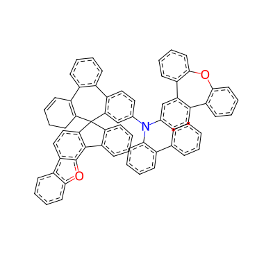 C1=CC2=C(CC1)C1(c3cc(N(c4ccc5c(c4)-c4ccccc4Oc4ccccc4-5)c4ccccc4-c4ccccc4)ccc3-c3ccccc32)c2ccccc2-c2c1ccc1c2oc2ccccc21